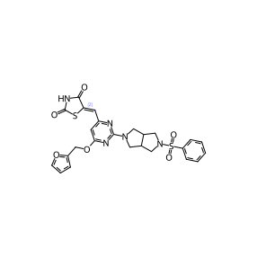 O=C1NC(=O)/C(=C/c2cc(OCc3ccco3)nc(N3CC4CN(S(=O)(=O)c5ccccc5)CC4C3)n2)S1